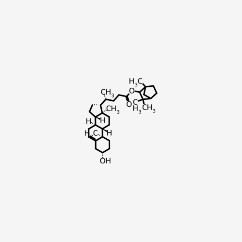 C[C@H](CCC(=O)OC1C2(C)CCC(C2)C1(C)C)[C@H]1CC[C@H]2[C@@H]3CC=C4C[C@@H](O)CC[C@]4(C)[C@H]3CC[C@]12C